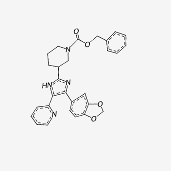 O=C(OCc1ccccc1)N1CCCC(c2nc(-c3ccc4c(c3)OCO4)c(-c3ccccn3)[nH]2)C1